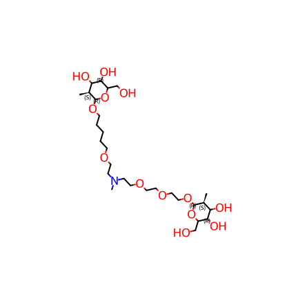 C[C@H]1C(O)[C@@H](O)C(CO)O[C@H]1OCCCCCOCCN(C)CCOCCOCCO[C@@H]1OC(CO)[C@H](O)C(O)[C@@H]1C